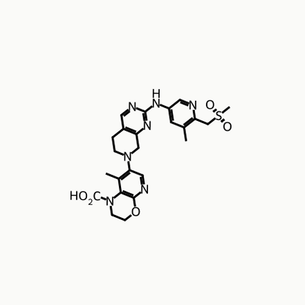 Cc1cc(Nc2ncc3c(n2)CN(c2cnc4c(c2C)N(C(=O)O)CCO4)CC3)cnc1CS(C)(=O)=O